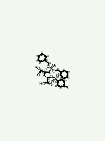 COC(=O)[C@](C)(C[C@@H](OS(=O)(=O)c1ccc(C)cc1)C(=O)O)CP(=O)(OCc1ccccc1)OCc1ccccc1